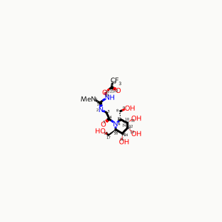 CNC(=NCC(=O)N1[C@H](CO)[C@H](O)[C@H](O)[C@H](O)[C@H]1CO)NOC(=O)C(F)(F)F